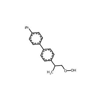 CC(C)c1ccc(-c2ccc(C(C)COO)cc2)cc1